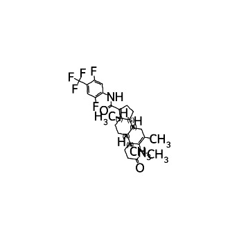 CC1=C2N(C)C(=O)CC[C@]2(C)[C@@H]2CC[C@]3(C)C(C(=O)Nc4cc(F)c(C(F)(F)F)cc4F)CC[C@H]3[C@@H]2C1